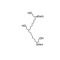 CCCCCCC(CCO)CCCCCCCC(CCO)CCCCCCCC(CCO)CCCCC